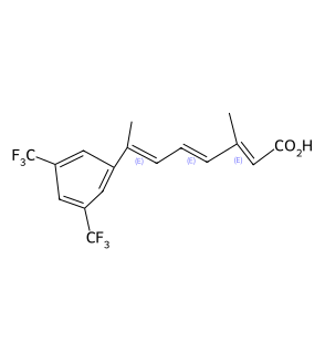 CC(/C=C/C=C(\C)c1cc(C(F)(F)F)cc(C(F)(F)F)c1)=C\C(=O)O